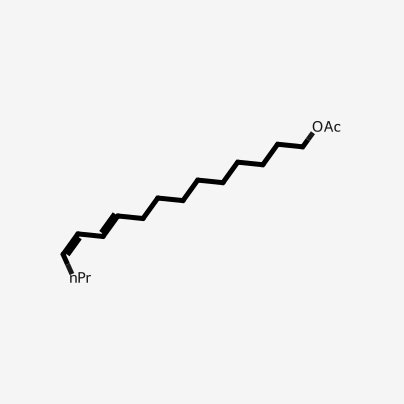 CCC/C=C\C=C\CCCCCCCCCOC(C)=O